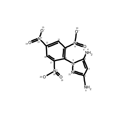 Nc1cc(N)n(-c2c([N+](=O)[O-])cc([N+](=O)[O-])cc2[N+](=O)[O-])n1